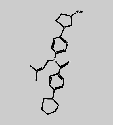 CNC1CCN(c2ccc(N(CC=C(C)C)C(=O)c3ccc(C4CCCCC4)cc3)cn2)C1